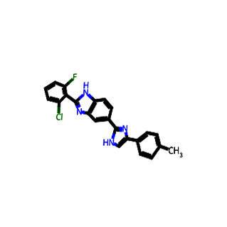 Cc1ccc(-c2c[nH]c(-c3ccc4[nH]c(-c5c(F)cccc5Cl)nc4c3)n2)cc1